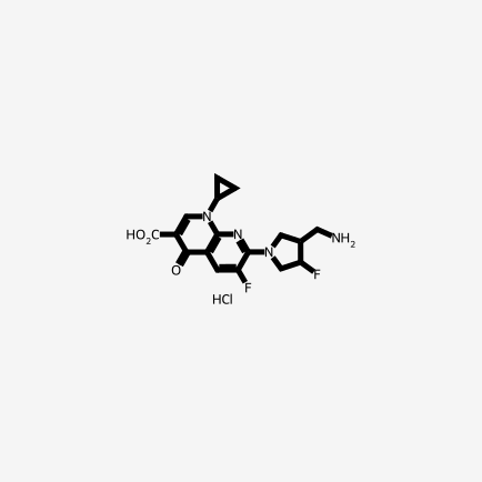 Cl.NCC1CN(c2nc3c(cc2F)c(=O)c(C(=O)O)cn3C2CC2)CC1F